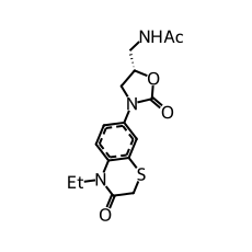 CCN1C(=O)CSc2cc(N3C[C@H](CNC(C)=O)OC3=O)ccc21